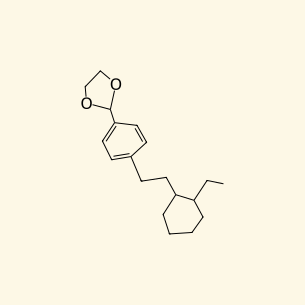 CCC1CCCCC1CCc1ccc(C2OCCO2)cc1